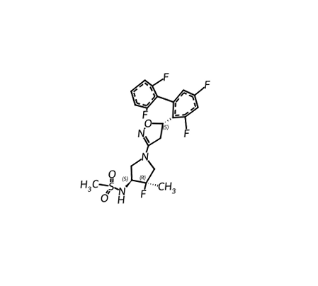 C[C@@]1(F)CN(C2=NO[C@H](c3c(F)cc(F)cc3-c3c(F)cccc3F)C2)C[C@@H]1NS(C)(=O)=O